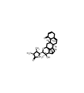 C[C@@H]1[C@H](C)C(=O)O[C@@H]1C1OC23C[C@H]4[C@@H](CC=C5CC=CC(=O)[C@@]54C)[C@H]4CC(O2)C([C@@H]43)[C@@]1(C)O